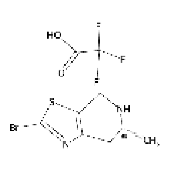 C[C@@H]1Cc2nc(Br)sc2CN1.O=C(O)C(F)(F)F